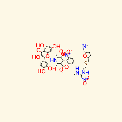 CN/C(=C/[N+](=O)[O-])NCCSCc1ccc(CN(C)C)o1.COC(=O)C1=C(C)NC(C)=C(C(=O)OC)C1c1ccccc1[N+](=O)[O-].O=c1c(O)c(-c2ccc(O)c(O)c2)oc2cc(O)cc(O)c12